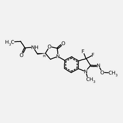 CCC(=O)NC[C@@H]1CN(c2ccc3c(c2)C(F)(F)C(=NOC)N3C)C(=O)O1